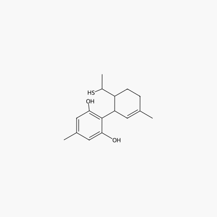 CC1=CC(c2c(O)cc(C)cc2O)C(C(C)S)CC1